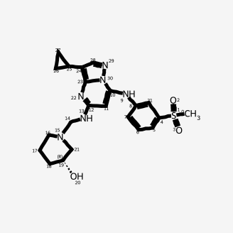 CS(=O)(=O)c1cccc(Nc2cc(NCN3CCC[C@@H](O)C3)nc3c(C4CC4)cnn23)c1